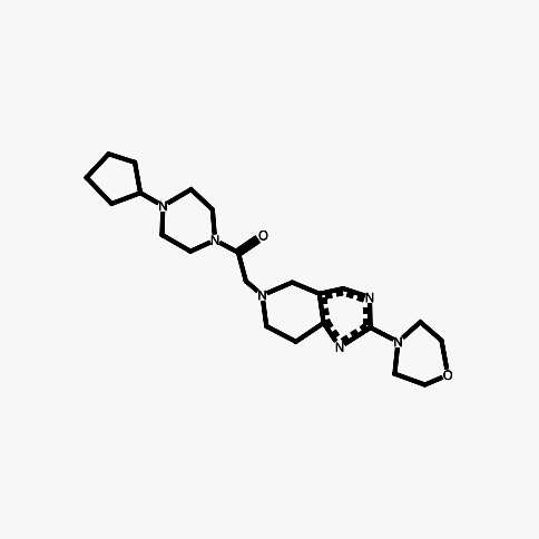 O=C(CN1CCc2nc(N3CCOCC3)ncc2C1)N1CCN(C2CCCC2)CC1